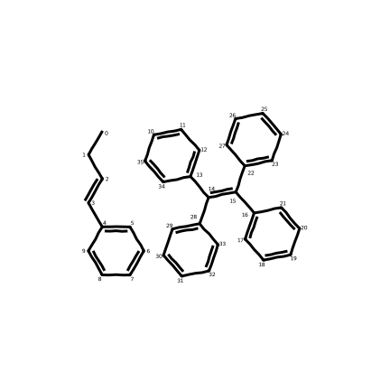 CCC=Cc1ccccc1.c1ccc(C(=C(c2ccccc2)c2ccccc2)c2ccccc2)cc1